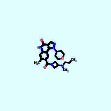 CCCN(C)C1CN(C(=O)c2cc3c(cc2C)[nH]c(=O)c2cnn(C4CCOCC4)c23)C1